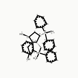 B[PH](C[C@@H]1[C@@H](CCO)[C@@H](O)C[C@@H]1[PH](B)(c1ccccc1)c1ccccc1)(c1ccccc1)c1ccccc1